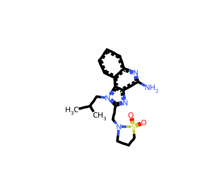 CC(C)Cn1c(CN2CCCS2(=O)=O)nc2c(N)nc3ccccc3c21